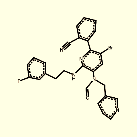 N#Cc1ccccc1-c1nc(NCCc2cccc(F)c2)c(N(C=O)Cc2cccnc2)cc1Br